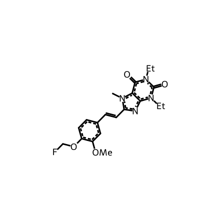 CCn1c(=O)c2c(nc(C=Cc3ccc(OCF)c(OC)c3)n2C)n(CC)c1=O